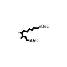 [CH2]C(CCCCCCCCCCCCCCCC)C(C)CCCCCCCCCCCC